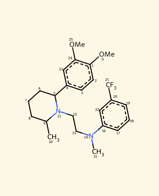 COc1ccc(C2CCCC(C)N2CCN(C)c2cccc(C(F)(F)F)c2)cc1OC